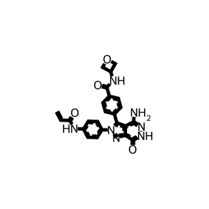 C=CC(=O)Nc1ccc(-n2nc3c(=O)[nH]nc(N)c3c2-c2ccc(C(=O)NC3COC3)cc2)cc1